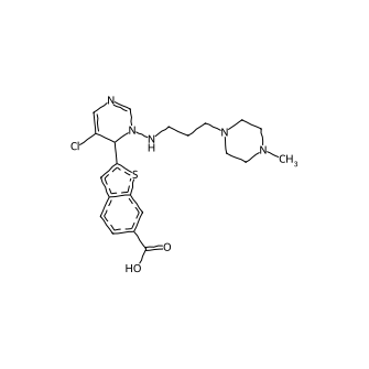 CN1CCN(CCCNN2C=NC=C(Cl)C2c2cc3ccc(C(=O)O)cc3s2)CC1